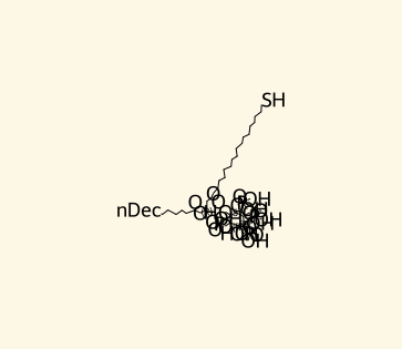 CCCCCCCCCCCCCCCC(=O)O[C@@H](COP(=O)(O)OC1C(O)[C@H](OP(=O)(O)O)C(OP(=O)(O)O)[C@H](OP(=O)(O)O)[C@@H]1O)CC(=O)OCCCCCCCCCCCCCCCCS